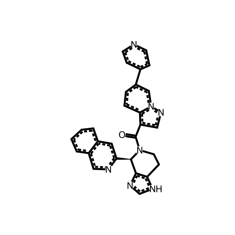 O=C(c1cnn2cc(-c3ccncc3)ccc12)N1CCc2[nH]cnc2[C@H]1c1cc2ccccc2cn1